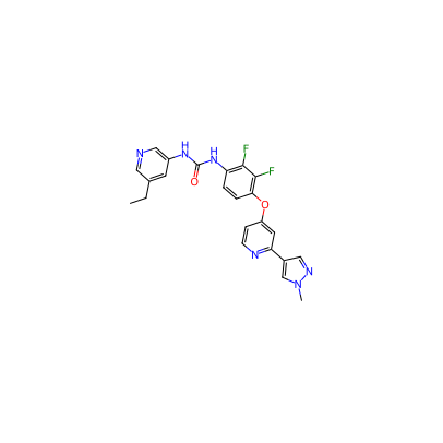 CCc1cncc(NC(=O)Nc2ccc(Oc3ccnc(-c4cnn(C)c4)c3)c(F)c2F)c1